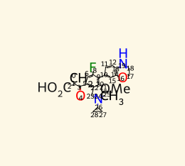 C=C(C(=O)O)C(=O)c1cc(F)c(-c2ccc3c(c2)OCCN3)c(OC)c1CN(C)C1CC1